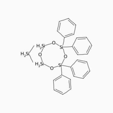 C[SiH2]C.c1ccc([Si]2(c3ccccc3)O[SiH2]O[SiH2]O[Si](c3ccccc3)(c3ccccc3)O2)cc1